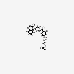 CC(=O)OCCCOc1ccc(C(=O)N2CCC(N3C(=O)CCc4ccccc43)CC2)cc1